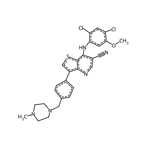 COc1cc(Nc2c(C#N)cnc3c(-c4ccc(CN5CCN(C)CC5)cc4)csc23)c(Cl)cc1Cl